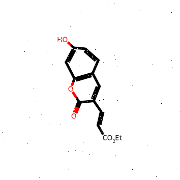 CCOC(=O)C=Cc1cc2ccc(O)cc2oc1=O